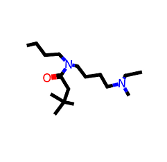 CCCCN(CCCCN(C)CC)C(=O)CC(C)(C)C